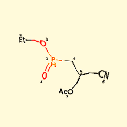 CCO[PH](=O)CC(C#N)OC(C)=O